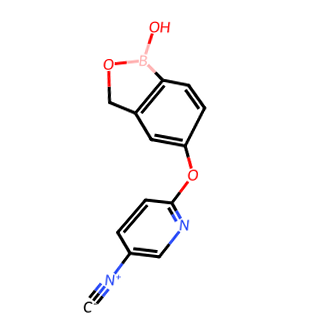 [C-]#[N+]c1ccc(Oc2ccc3c(c2)COB3O)nc1